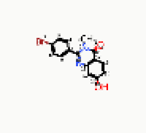 Cn1c(-c2ccc(Br)cc2)nc2cc(O)ccc2c1=O